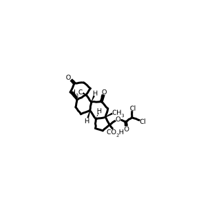 C[C@]12CCC(=O)C=C1CC[C@@H]1[C@H]2C(=O)C[C@@]2(C)[C@H]1CCC2(OC(=O)C(Cl)Cl)C(=O)O